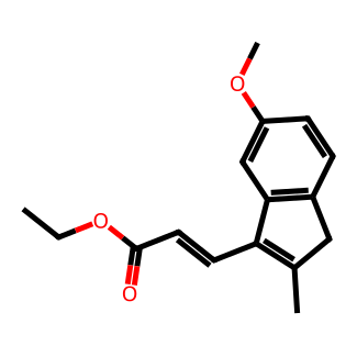 CCOC(=O)C=CC1=C(C)Cc2ccc(OC)cc21